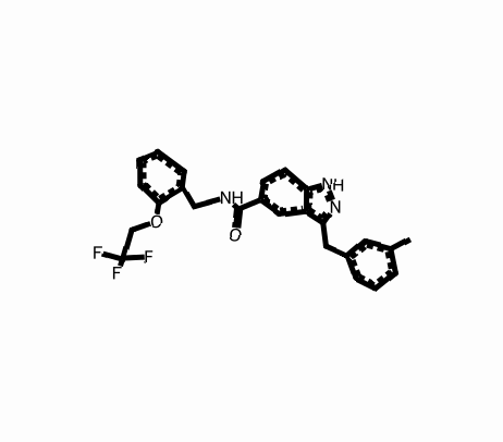 Cc1cccc(Cc2n[nH]c3ccc(C(=O)NCc4ccccc4OCC(F)(F)F)cc23)c1